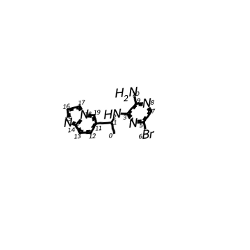 CC(Nc1nc(Br)cnc1N)c1ccc2nccn2c1